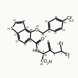 C=C(CC(CC)CC)[C@H](NC(=O)c1ccc2sccc2c1OCc1ccc(C(F)(F)F)cc1)C(=O)O